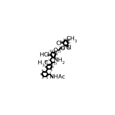 CC(=O)NCc1ccccc1-c1ccc(C(CN)Cc2ccc(OCCOc3c(Cl)cc(C)cc3Cl)cc2)c(C)c1.Cl